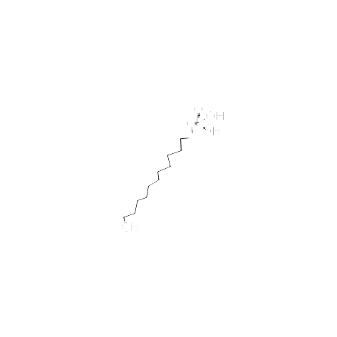 CCCCCCCCCCCCOOP(=O)(O)O